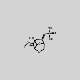 B[C@@H]1OC2COC1C(OI)C/C2=C/P(=O)(O)O